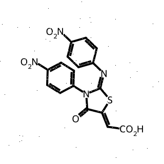 O=C(O)/C=C1\S/C(=N/c2ccc([N+](=O)[O-])cc2)N(c2ccc([N+](=O)[O-])cc2)C1=O